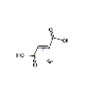 O=C(O)/C=C/C(=O)O.[Se]